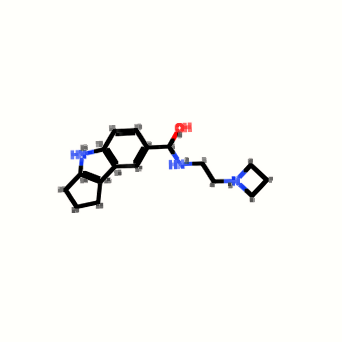 OC(NCCN1CCC1)c1ccc2[nH]c3c(c2c1)CCC3